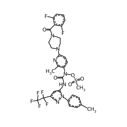 Cc1ccc(-n2nc(C(F)(F)C(F)(F)F)cc2NC(=O)N(OS(C)(=O)=O)c2ccc(N3CCN(C(=O)c4c(F)cccc4F)CC3)nc2C)cc1